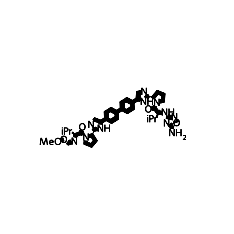 COO/C=N\[C@H](C(=O)N1CCC[C@H]1C1=NCC(c2ccc(-c3ccc(-c4cnc([C@@H]5CCCN5C(=O)[C@@H](Nc5noc(N)n5)C(C)C)[nH]4)cc3)cc2)N1)C(C)C